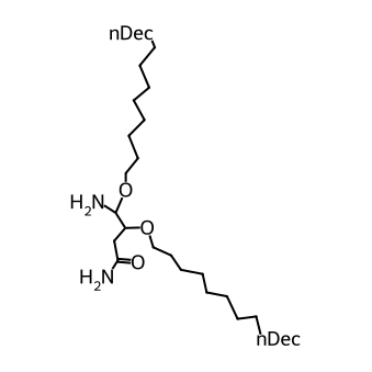 CCCCCCCCCCCCCCCCCCOC(N)C(CC(N)=O)OCCCCCCCCCCCCCCCCCC